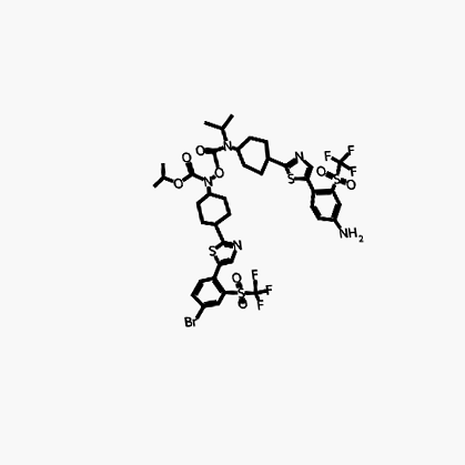 CC(C)OC(=O)N(OC(=O)N(C(C)C)C1CCC(c2ncc(-c3ccc(N)cc3S(=O)(=O)C(F)(F)F)s2)CC1)C1CCC(c2ncc(-c3ccc(Br)cc3S(=O)(=O)C(F)(F)F)s2)CC1